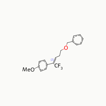 COc1ccc(/C(=C/CCOCc2ccccc2)C(F)(F)F)cc1